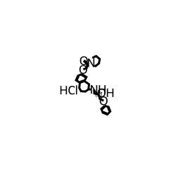 Cl.O=C(COc1ccc2c(c1)CC(NC[C@H](O)COc1ccccc1)CCC2)N1CCCCC1